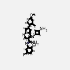 COc1cc(C)c(-c2cc3c(N[C@H]4C[C@@H](N)C4)c(/C(N)=N/c4cc(F)ccc4Cl)cnn3c2)cn1